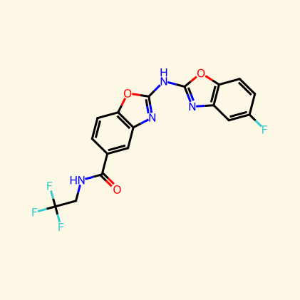 O=C(NCC(F)(F)F)c1ccc2oc(Nc3nc4cc(F)ccc4o3)nc2c1